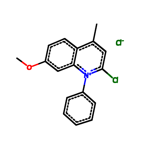 COc1ccc2c(C)cc(Cl)[n+](-c3ccccc3)c2c1.[Cl-]